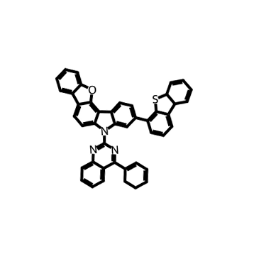 C1=CCCC(c2nc(-n3c4cc(-c5cccc6c5SC5C=CC=CC65)ccc4c4c5oc6ccccc6c5ccc43)nc3ccccc23)=C1